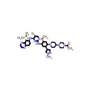 COc1cc(N2CCC(N3CCN(C(C)=O)CC3)CC2)c(-c2cnn(C)c2)cc1Nc1ncc(Br)c(Nc2ccc3nccnc3c2P(C)C)n1